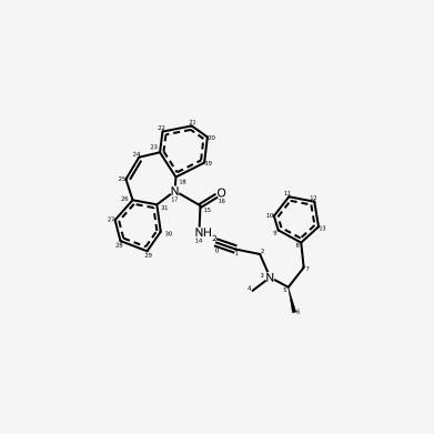 C#CCN(C)[C@H](C)Cc1ccccc1.NC(=O)N1c2ccccc2C=Cc2ccccc21